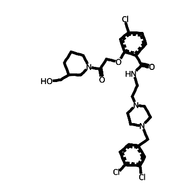 O=C(NCCN1CCN(Cc2ccc(Cl)c(Cl)c2)CC1)c1ccc(Cl)cc1OCC(=O)N1CCCC(CO)C1